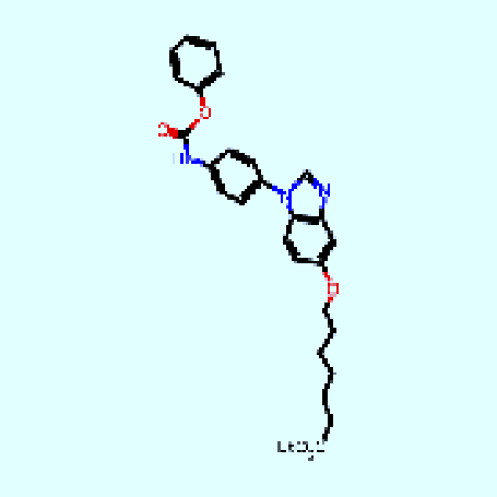 CCOC(=O)CCCCCCOc1ccc2c(c1)ncn2-c1ccc(NC(=O)Oc2ccccc2)cc1